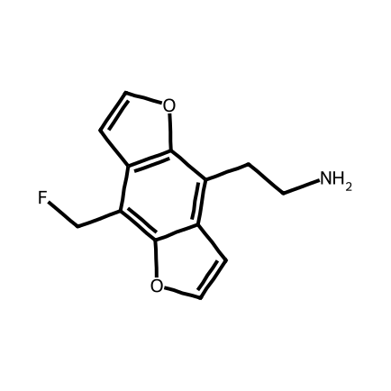 NCCc1c2ccoc2c(CF)c2ccoc12